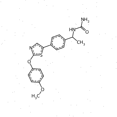 COc1ccc(Oc2ncc(-c3ccc(C(C)NC(N)=O)cc3)s2)cc1